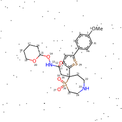 COc1ccc(-c2ccc(C3(CC(=O)NOC4CCCCO4)CCNCCS3(=O)=O)s2)cc1